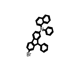 Brc1ccc2c(c1)C(c1ccccc1)c1cc(N(c3ccccc3)c3cccc4ccccc34)ccc1-2